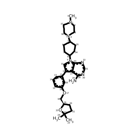 CN1CCN(C2CCC(n3cc(-c4cccc(OC[C@H]5CCC(C)(C)O5)c4)c4c(N)ncnc43)CC2)CC1